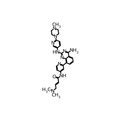 CN(C)CC=CC(=O)Nc1ccnc(-c2cccc3c(N)nc(Nc4ccc(N5CCN(C)CC5)nc4)nc23)c1